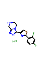 Cl.Fc1ccc(-c2nc(-c3nnc4n3CCNC4)cs2)c(F)c1